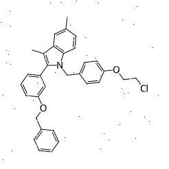 Cc1ccc2c(c1)c(C)c(-c1cccc(OCc3ccccc3)c1)n2Cc1ccc(OCCCl)cc1